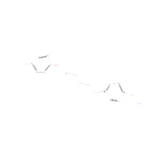 NCc1ccc(CCCCCOc2ccc(F)cc2)cc1